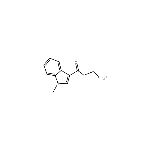 Cn1cc(C(=O)CCC(=O)O)c2ccccc21